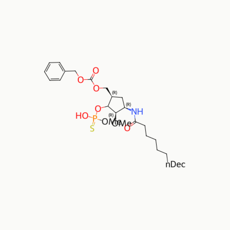 CCCCCCCCCCCCCCCC(=O)N[C@@H]1C[C@H](COC(=O)OCc2ccccc2)C(OP(O)(=S)OC)[C@@H]1OC